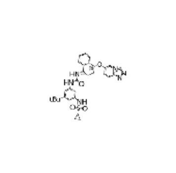 CC(C)(C)c1cc(NC(=O)N[C@H]2CC[C@@H](Oc3ccc4nncn4c3)c3ccccc32)cc(NS(=O)(=O)C2CC2)c1